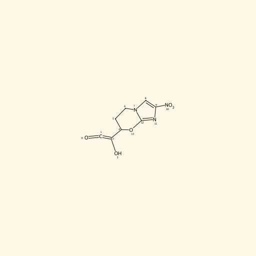 O=C=C(O)C1CCn2cc([N+](=O)[O-])nc2O1